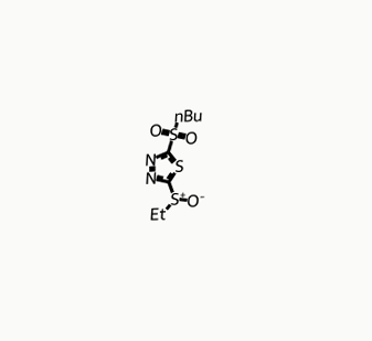 CCCCS(=O)(=O)c1nnc([S+]([O-])CC)s1